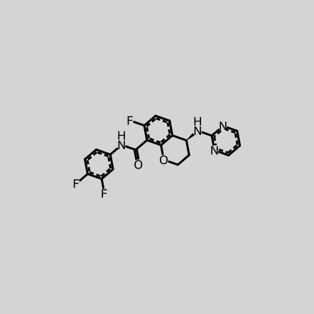 O=C(Nc1ccc(F)c(F)c1)c1c(F)ccc2c1OCC[C@@H]2Nc1ncccn1